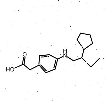 CCC(CNc1ccc(CC(=O)O)cc1)C1CCCC1